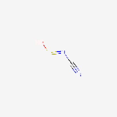 N#CN=[SH]O